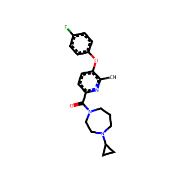 N#Cc1nc(C(=O)N2CCCN(C3CC3)CC2)ccc1Oc1ccc(F)cc1